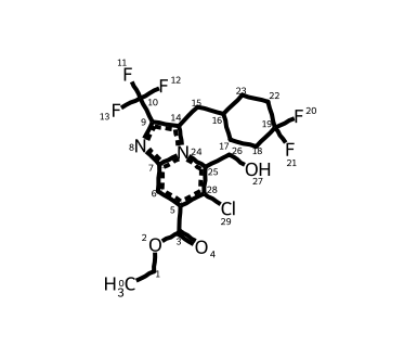 CCOC(=O)c1cc2nc(C(F)(F)F)c(CC3CCC(F)(F)CC3)n2c(CO)c1Cl